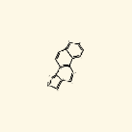 c1ccc2c(c1)ccc1c2ccc2c[se]nc21